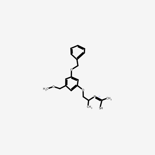 COCc1cc(OCc2ccccc2)cc(OCC(C)/N=C(/C)S)c1